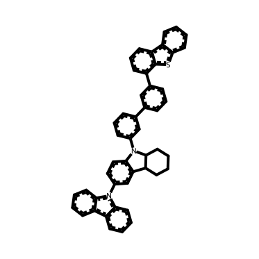 c1cc(-c2cccc(N3c4ccc(-n5c6ccccc6c6ccccc65)cc4C4CCCCC43)c2)cc(-c2cccc3c2sc2ccccc23)c1